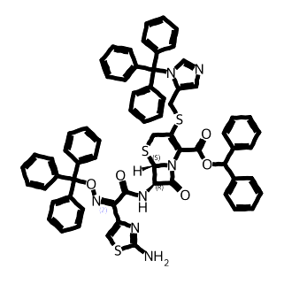 Nc1nc(/C(=N/OC(c2ccccc2)(c2ccccc2)c2ccccc2)C(=O)N[C@@H]2C(=O)N3C(C(=O)OC(c4ccccc4)c4ccccc4)=C(SCc4cncn4C(c4ccccc4)(c4ccccc4)c4ccccc4)CS[C@@H]23)cs1